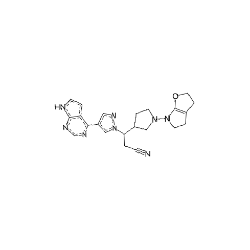 N#CCC(C1CCN(N2CCC3=C2OCC3)C1)n1cc(-c2ncnc3[nH]ccc23)cn1